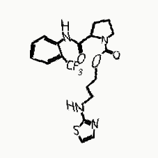 O=C(Nc1ccccc1C(F)(F)F)C1CCCN1C(=O)OCCCNc1nccs1